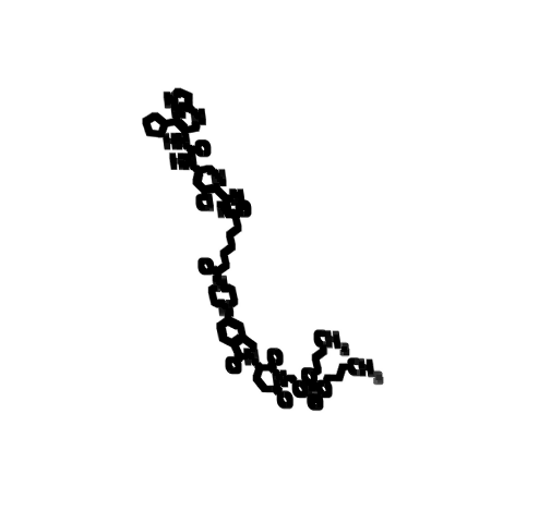 CCCCOP(=O)(OCCCC)OCN1C(=O)CCC(N2Cc3cc(N4CCN(C(=O)CCCCCc5nc(-c6ncc(NC(=O)Nc7cnc8ccnn8c7C7CCCC7)cc6Cl)no5)CC4)ccc3C2=O)C1=O